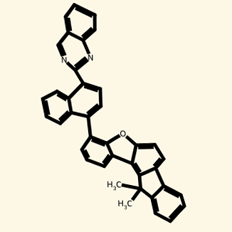 CC1(C)c2ccccc2-c2ccc3oc4c(-c5ccc(-c6ncc7ccccc7n6)c6ccccc56)cccc4c3c21